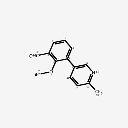 CC(C)Oc1c(C=O)cccc1-c1ccc(C(F)(F)F)nc1